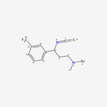 CC(=O)N(C)CCC(N=C=S)c1cccc(C(F)(F)F)c1